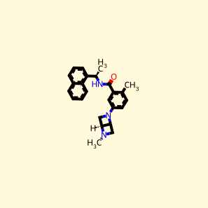 Cc1ccc(N2C[C@H]3C2CN3C)cc1C(=O)N[C@H](C)c1cccc2ccccc12